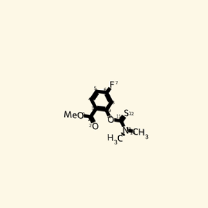 COC(=O)c1ccc(F)cc1OC(=S)N(C)C